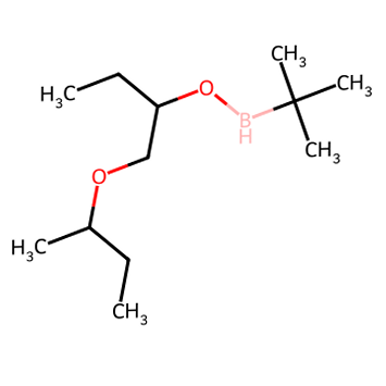 CCC(C)OCC(CC)OBC(C)(C)C